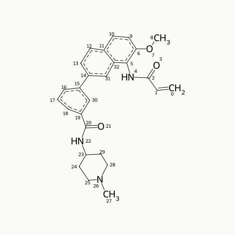 C=CC(=O)Nc1c(OC)ccc2ccc(-c3cccc(C(=O)NC4CCN(C)CC4)c3)cc12